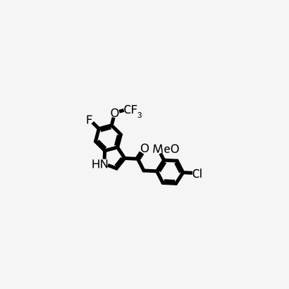 COc1cc(Cl)ccc1CC(=O)c1c[nH]c2cc(F)c(OC(F)(F)F)cc12